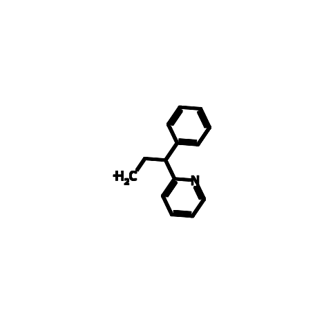 [CH2]CC(c1ccccc1)c1ccccn1